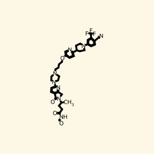 CC(CCC(=O)NC=O)N1Cc2nc(N3CCN(CCCCOc4ccc(C5CCN(c6ccc(C#N)c(C(F)(F)F)c6)CC5)nc4)CC3)ccc2C1=O